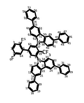 Fc1ccc(F)c(-c2cc(-n3c4ccc(-c5ccccc5)cc4c4cc(-c5ccccc5)ccc43)c(C(F)(F)F)c(-n3c4ccc(-c5ccccc5)cc4c4cc(-c5ccccc5)ccc43)c2)c1